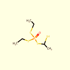 CCSP(=O)(SCC)SC(C)S